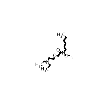 CCCCCCN(C)C(=O)COCCN(CC)CC